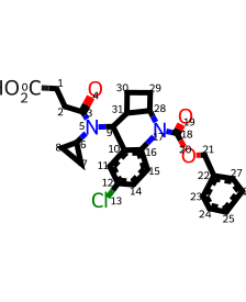 O=C(O)CCC(=O)N(C1CC1)C1c2cc(Cl)ccc2N(C(=O)OCc2ccccc2)C2CCC21